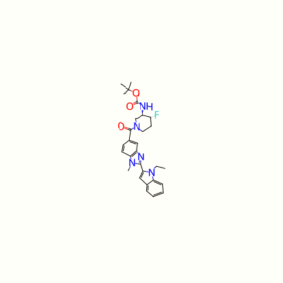 CCn1c(-c2nc3cc(C(=O)N4CC[C@@H](F)[C@H](NC(=O)OC(C)(C)C)C4)ccc3n2C)cc2ccccc21